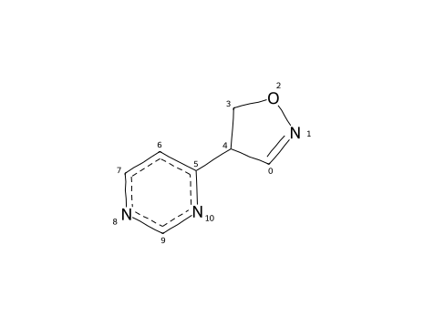 C1=NOCC1c1ccncn1